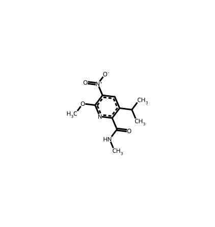 CNC(=O)c1nc(OC)c([N+](=O)[O-])cc1C(C)C